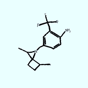 CC1CCC12C(C)N2c1ccc(N)c(C(F)(F)F)c1